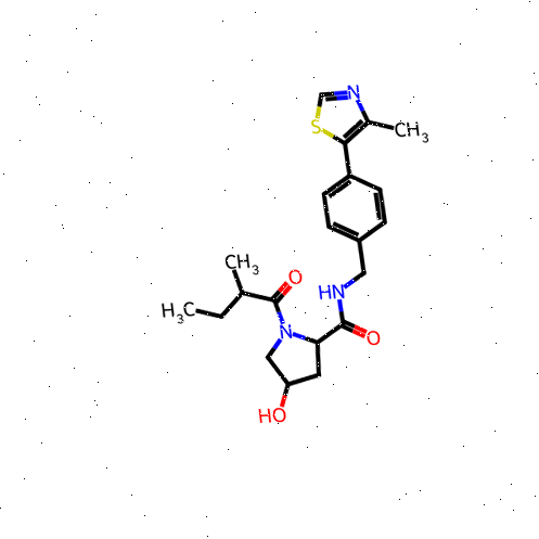 CCC(C)C(=O)N1CC(O)CC1C(=O)NCc1ccc(-c2scnc2C)cc1